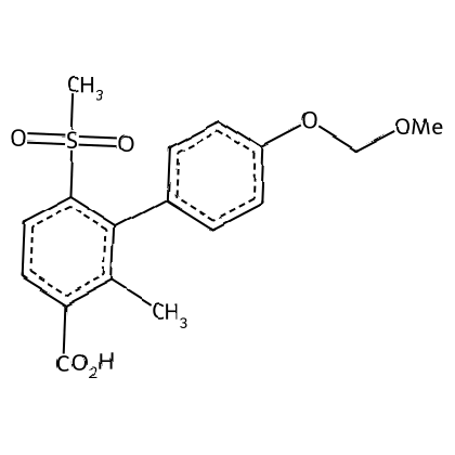 COCOc1ccc(-c2c(S(C)(=O)=O)ccc(C(=O)O)c2C)cc1